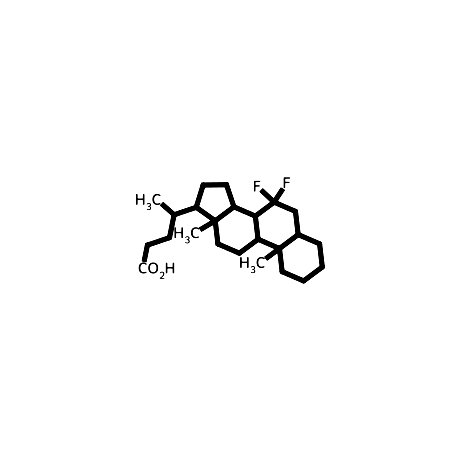 CC(CCC(=O)O)C1CCC2C3C(CCC12C)C1(C)CCCCC1CC3(F)F